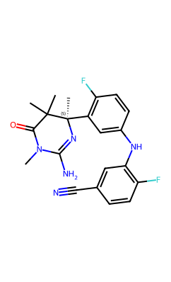 CN1C(=O)C(C)(C)[C@@](C)(c2cc(Nc3cc(C#N)ccc3F)ccc2F)N=C1N